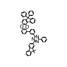 CC1(C)c2ccccc2-c2ccc(-c3nc(-c4ccccc4)nc(-c4cccc(-c5cccc6c5Oc5c(ccc7c5-c5ccccc5C7(c5ccccc5)c5ccccc5)O6)c4)n3)cc21